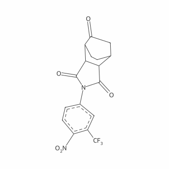 O=C1CC2CCC1C1C(=O)N(c3ccc([N+](=O)[O-])c(C(F)(F)F)c3)C(=O)C21